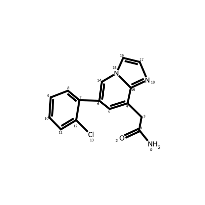 NC(=O)Cc1cc(-c2ccccc2Cl)cn2ccnc12